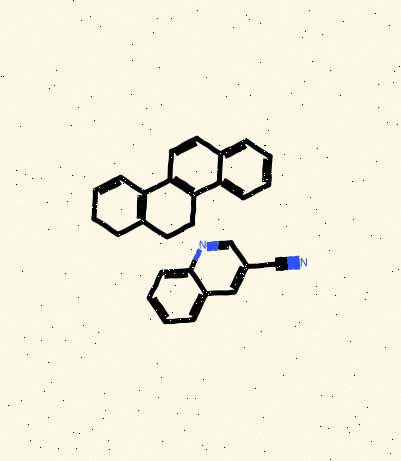 C1=CC2=C(CC1)CCc1c2ccc2ccccc12.N#Cc1cnc2ccccc2c1